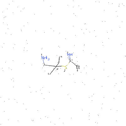 CCC(=N)SC(C)(C)CN